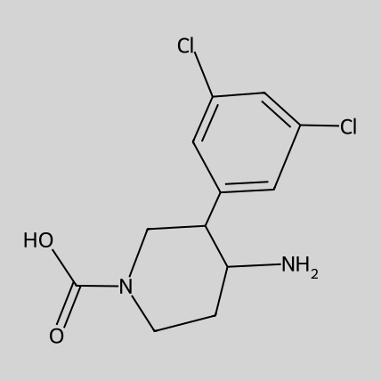 NC1CCN(C(=O)O)CC1c1cc(Cl)cc(Cl)c1